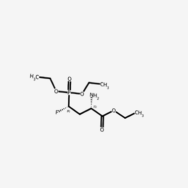 CCOC(=O)[C@@H](N)C[C@H](F)P(=O)(OCC)OCC